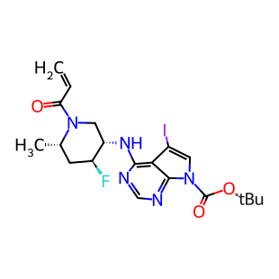 C=CC(=O)N1C[C@H](Nc2ncnc3c2c(I)cn3C(=O)OC(C)(C)C)[C@@H](F)C[C@@H]1C